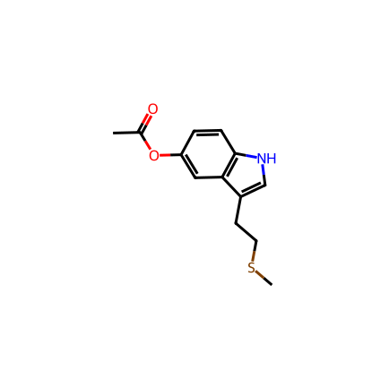 CSCCc1c[nH]c2ccc(OC(C)=O)cc12